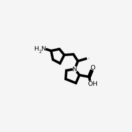 [CH2]C(CC1CCC(N)C1)N1CCCC1C(=O)O